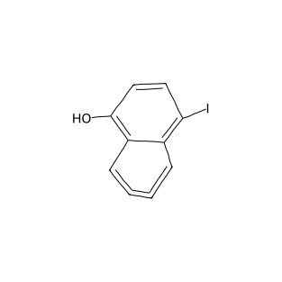 Oc1ccc(I)c2c1C=C=C=C2